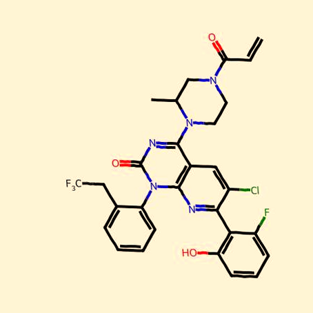 C=CC(=O)N1CCN(c2nc(=O)n(-c3ccccc3CC(F)(F)F)c3nc(-c4c(O)cccc4F)c(Cl)cc23)C(C)C1